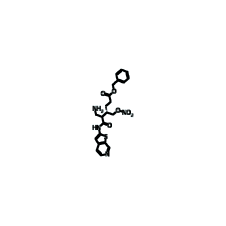 NCC(C(=O)Nc1cc2ccncc2s1)[C@H](CCC(=O)OCc1ccccc1)CO[N+](=O)[O-]